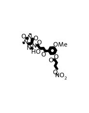 COc1cc(OC(=O)CCCO[N+](=O)[O-])cc(C(=O)/C=C(\O)C(=O)n2cnc3c2c(=O)n(C)c(=O)n3C)c1